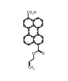 C=CCOC(=O)c1ccc2c3cccc4c(C(=O)O)ccc(c5cccc1c52)c43